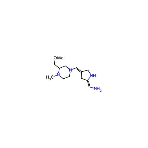 COCC1CN(/C=C2/CN/C(=C\N)C2)CCN1C